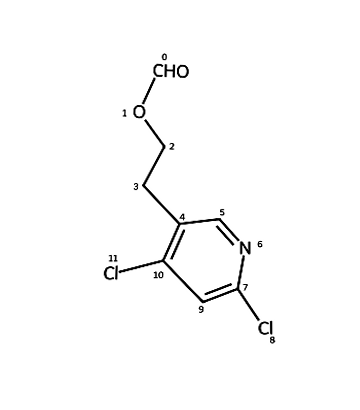 O=COCCc1cnc(Cl)cc1Cl